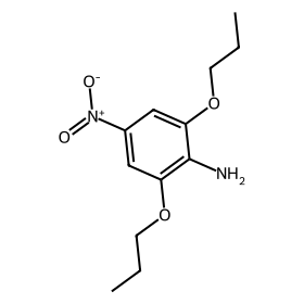 CCCOc1cc([N+](=O)[O-])cc(OCCC)c1N